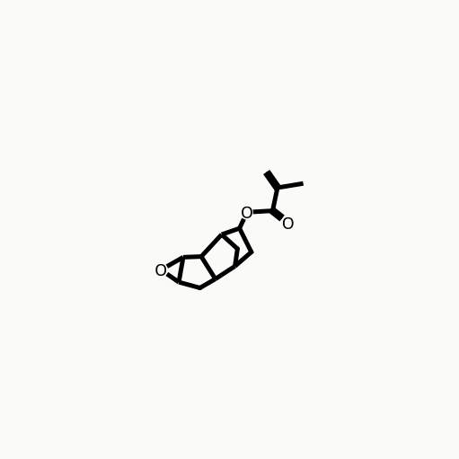 C=C(C)C(=O)OC1CC2CC1C1C2CC2OC21